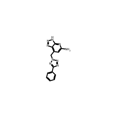 Nc1cc(Cn2nnc(-c3ccccc3)n2)c2nn[nH]c2n1